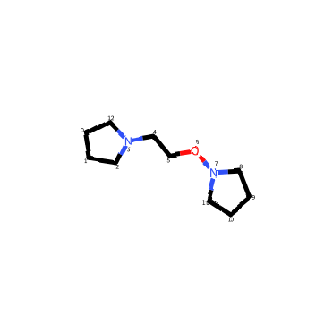 C1CCN(CCON2CCCC2)C1